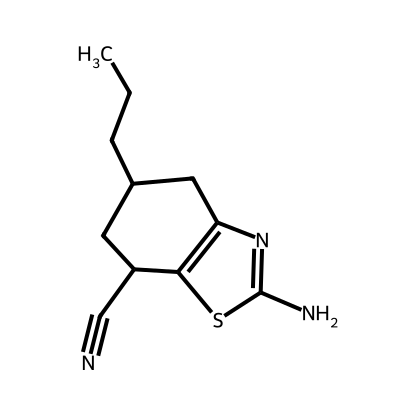 CCCC1Cc2nc(N)sc2C(C#N)C1